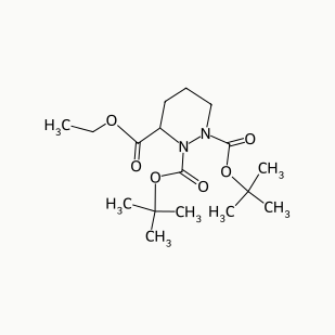 CCOC(=O)C1CCCN(C(=O)OC(C)(C)C)N1C(=O)OC(C)(C)C